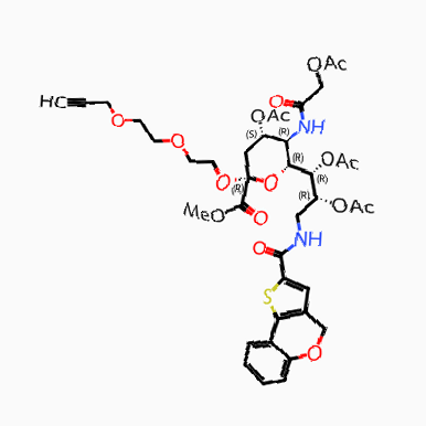 C#CCOCCOCCO[C@]1(C(=O)OC)C[C@H](OC(C)=O)[C@@H](NC(=O)COC(C)=O)[C@H]([C@H](OC(C)=O)[C@@H](CNC(=O)c2cc3c(s2)-c2ccccc2OC3)OC(C)=O)O1